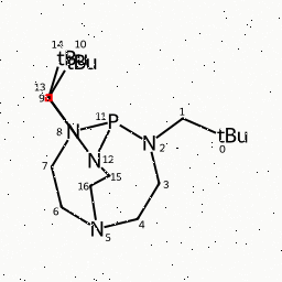 CC(C)(C)CN1CCN2CCN(CC(C)(C)C)P1N(CC(C)(C)C)CC2